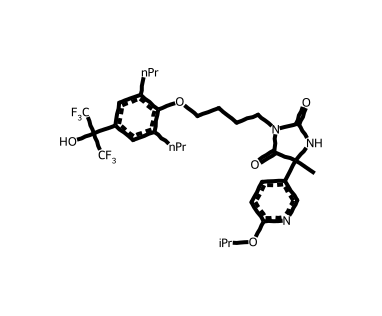 CCCc1cc(C(O)(C(F)(F)F)C(F)(F)F)cc(CCC)c1OCCCCN1C(=O)NC(C)(c2ccc(OC(C)C)nc2)C1=O